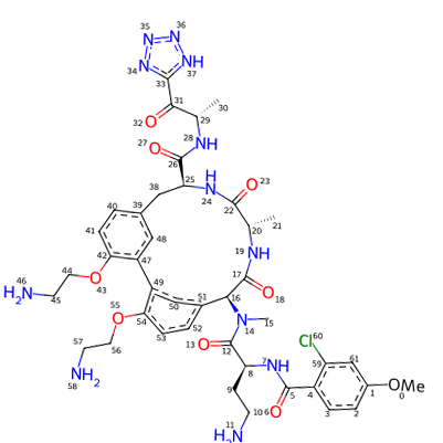 COc1ccc(C(=O)N[C@@H](CCN)C(=O)N(C)[C@@H]2C(=O)N[C@@H](C)C(=O)N[C@H](C(=O)N[C@@H](C)C(=O)c3nnn[nH]3)Cc3ccc(OCCN)c(c3)-c3cc2ccc3OCCN)c(Cl)c1